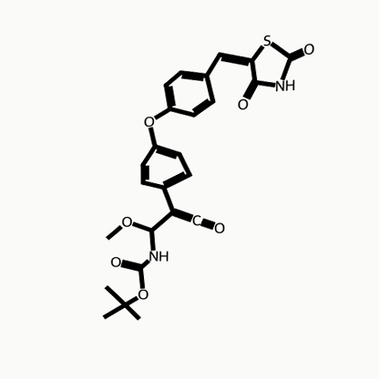 COC(NC(=O)OC(C)(C)C)C(=C=O)c1ccc(Oc2ccc(C=C3SC(=O)NC3=O)cc2)cc1